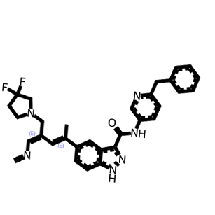 C=N/C=C(\C=C(/C)c1ccc2[nH]nc(C(=O)Nc3ccc(Cc4ccccc4)nc3)c2c1)CN1CCC(F)(F)C1